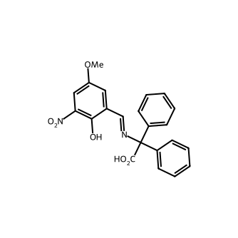 COc1cc(/C=N/C(C(=O)O)(c2ccccc2)c2ccccc2)c(O)c([N+](=O)[O-])c1